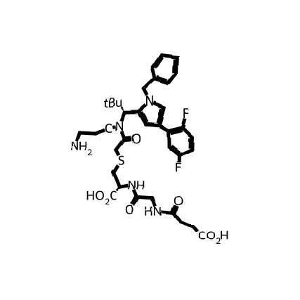 CC(C)(C)[C@H](c1cc(-c2cc(F)ccc2F)cn1Cc1ccccc1)N(CCCN)C(=O)CSC[C@H](NC(=O)CNC(=O)CCC(=O)O)C(=O)O